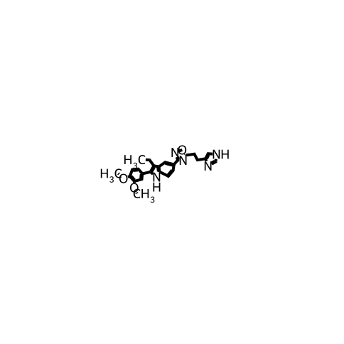 CCc1c(-c2ccc(OC)c(OC)c2)[nH]c2ccc(-c3noc(CCc4c[nH]cn4)n3)cc12